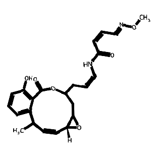 CO/N=C/C=C\C(=O)N/C=C\CC1CC2O[C@@H]2/C=C\C(C)c2cccc(O)c2C(=O)O1